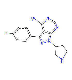 Nc1ncnc2c1c(-c1ccc(Cl)cc1)nn2C1CCNC1